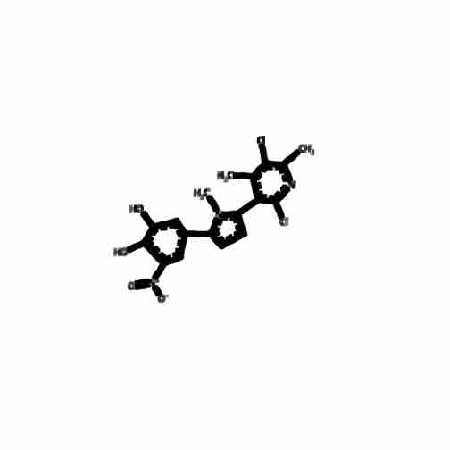 Cc1nc(Cl)c(-c2ccc(-c3cc(O)c(O)c([N+](=O)[O-])c3)n2C)c(C)c1Cl